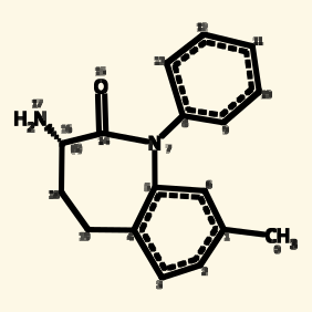 Cc1ccc2c(c1)N(c1ccccc1)C(=O)[C@@H](N)CC2